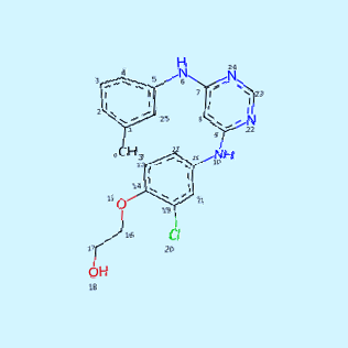 Cc1cccc(Nc2cc(Nc3ccc(OCCO)c(Cl)c3)ncn2)c1